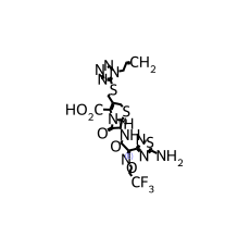 C=CCn1nnnc1SCC1=C(C(=O)O)N2C(=O)C(NC(=O)/C(=N/OCC(F)(F)F)c3nsc(N)n3)[C@H]2SC1